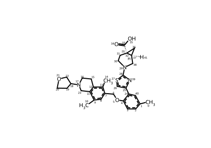 Cc1ccc(OCc2cc(C)c3c(c2C)CCN(C2CCOC2)C3)c(-c2csc(N3CC[C@@]4(C(=O)O)C[C@H]4C3)n2)c1